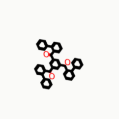 O=C(c1cc(C(=O)c2ccccc2-c2ccccc2)cc(C(=O)c2ccccc2-c2ccccc2)c1)c1ccccc1-c1ccccc1